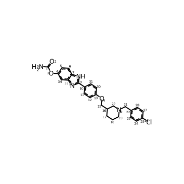 NC(=O)Oc1ccc2[nH]c(-c3ccc(OCC4CCCN(Cc5ccc(Cl)cc5)C4)cc3)nc2c1